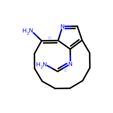 N/C=N\C1=C2C=N/C1=C(/N)CCCCCCCC2